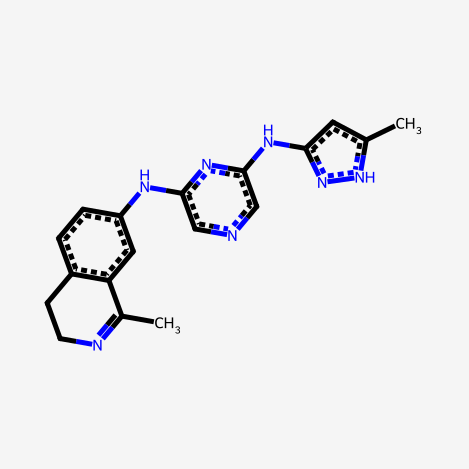 CC1=NCCc2ccc(Nc3cncc(Nc4cc(C)[nH]n4)n3)cc21